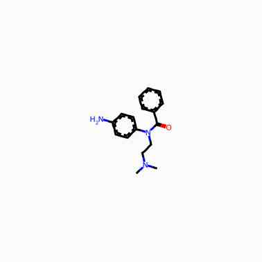 CN(C)CCN(C(=O)c1ccccc1)c1ccc(N)cc1